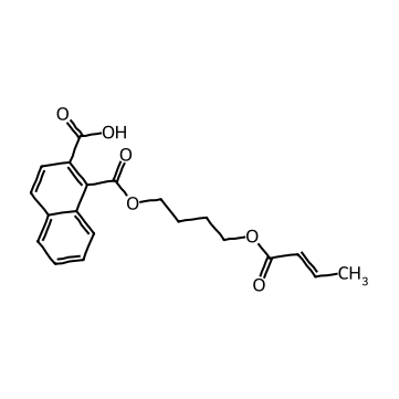 CC=CC(=O)OCCCCOC(=O)c1c(C(=O)O)ccc2ccccc12